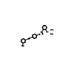 O=C(c1ccccc1-c1csc(-c2ccc(C#Cc3cccc(C(F)(F)F)c3)cc2)n1)N1CCOCC1